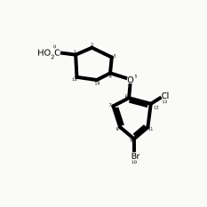 O=C(O)C1CCC(Oc2ccc(Br)cc2Cl)CC1